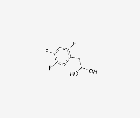 OC(O)Cc1cc(F)c(F)cc1F